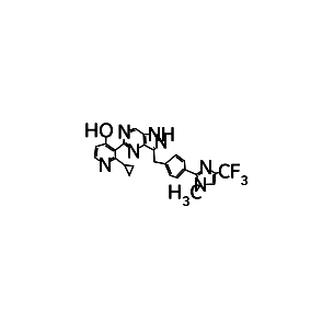 Cn1cc(C(F)(F)F)nc1-c1ccc(Cc2n[nH]c3cnc(-c4c(O)ccnc4C4CC4)nc23)cc1